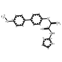 C=C(Oc1ccc(-c2ccc(OC(F)(F)F)cc2)cc1)C(=O)Nc1nccs1